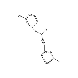 CCC(C#Cc1cccc(C)n1)Sc1cccc(Cl)c1